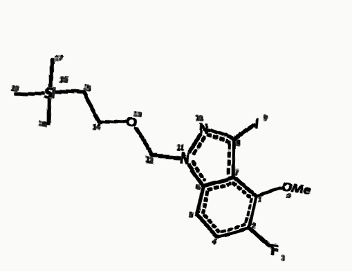 COc1c(F)ccc2c1c(I)nn2COCC[Si](C)(C)C